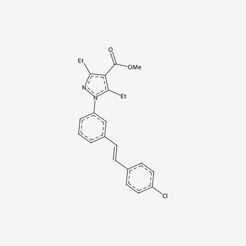 CCc1nn(-c2cccc(/C=C/c3ccc(Cl)cc3)c2)c(CC)c1C(=O)OC